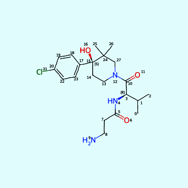 CC(C)[C@@H](NC(=O)CCN)C(=O)N1CC[C@](O)(c2ccc(Cl)cc2)C(C)(C)C1